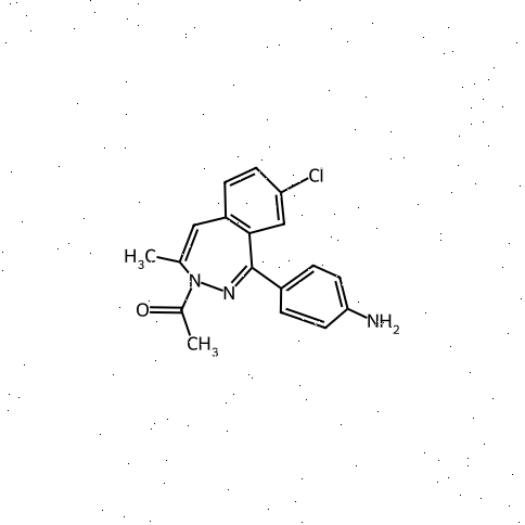 CC(=O)N1N=C(c2ccc(N)cc2)c2cc(Cl)ccc2C=C1C